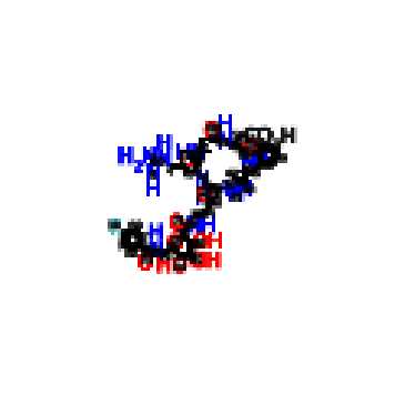 N=C(N)NCCC[C@@H]1NC(=O)[C@H](CCCCNC(=O)C2O[C@H](CNC(=O)c3ccc(F)cc3)C(O)[C@H](O)[C@@H]2O)n2cc(nn2)[C@H](Cc2ccccc2)NC(=O)[C@H](CC(=O)O)NC(=O)CNC1=O